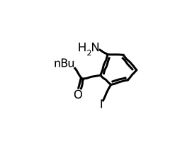 CCCCC(=O)c1c(N)cccc1I